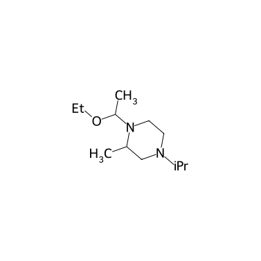 CCOC(C)N1CCN(C(C)C)CC1C